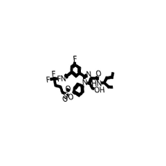 CCCC(CC)NC(=O)c1nc(-c2cc(F)cc(C#N)c2)n(-c2ccc(OS(=O)(=O)CCCC(F)(F)F)cc2)c1CO